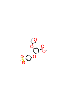 COC(=O)c1cc(Oc2ccc(S(C)(=O)=O)cc2)cc(OC2CCOC2)c1